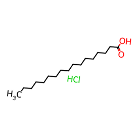 CCCCCCCCCCCCCCCCC(=O)O.Cl